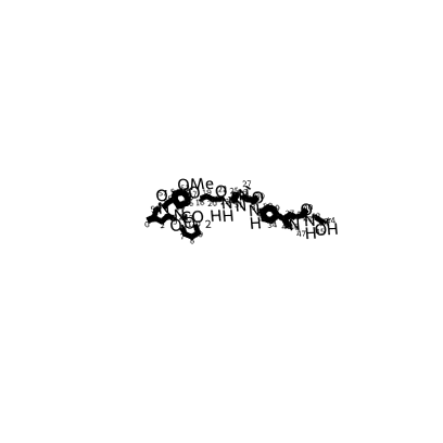 C=C1CC2C(OC3CCCCO3)N(C(=O)O)c3cc(OCCCC(=O)Nc4cn(C)c(C(=O)Nc5ccc(-c6cc(C(=O)NC[C@H](C)O)n(C)c6)cc5)n4)c(OC)cc3C(=O)N2C1